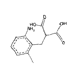 Cc1cccc(N)c1CC(C(=O)O)C(=O)O